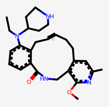 CCN(c1cccc2c1C/C=C/CCc1cc(C)nc(OC)c1CNC2=O)C1CCNCC1